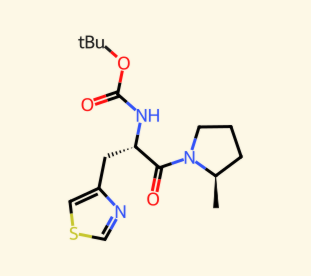 C[C@@H]1CCCN1C(=O)[C@H](Cc1cscn1)NC(=O)OC(C)(C)C